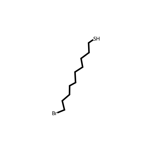 SCCCCCCCCCCBr